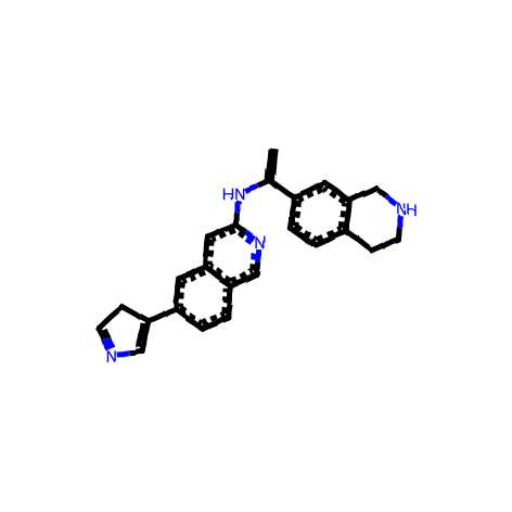 C=C(Nc1cc2cc(C3=CN=CC3)ccc2cn1)c1ccc2c(c1)CNCC2